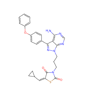 Nc1ncnc2c1c(-c1ccc(Oc3ccccc3)cc1)nn2CCCN1C(=O)SC(=CC2CC2)C1=O